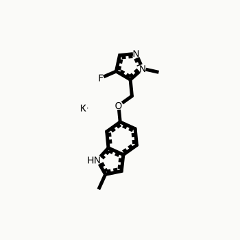 Cc1cc2ccc(OCc3c(F)cnn3C)cc2[nH]1.[K]